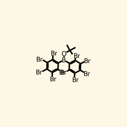 CC(C)(C)OB(c1c(Br)c(Br)c(Br)c(Br)c1Br)c1c(Br)c(Br)c(Br)c(Br)c1Br